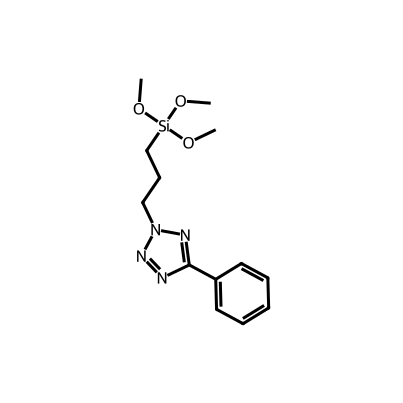 CO[Si](CCCn1nnc(-c2ccccc2)n1)(OC)OC